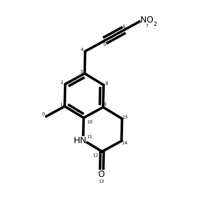 Cc1cc(CC#C[N+](=O)[O-])cc2c1NC(=O)CC2